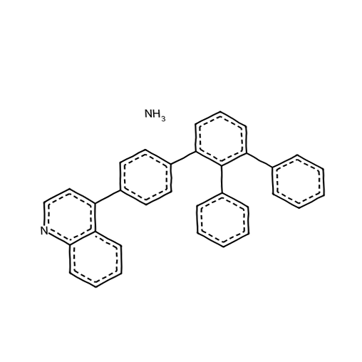 N.c1ccc(-c2cccc(-c3ccc(-c4ccnc5ccccc45)cc3)c2-c2ccccc2)cc1